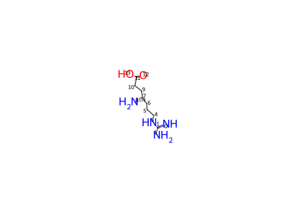 N=C(N)NCCC[C@H](N)CCC(=O)O